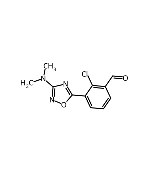 CN(C)c1noc(-c2cccc(C=O)c2Cl)n1